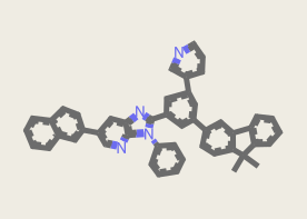 CC1(C)c2ccccc2-c2cc(-c3cc(-c4cccnc4)cc(-c4nc5cc(-c6ccc7ccccc7c6)cnc5n4-c4ccccc4)c3)ccc21